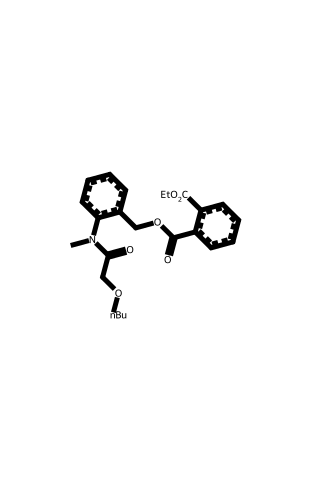 CCCCOCC(=O)N(C)c1ccccc1COC(=O)c1ccccc1C(=O)OCC